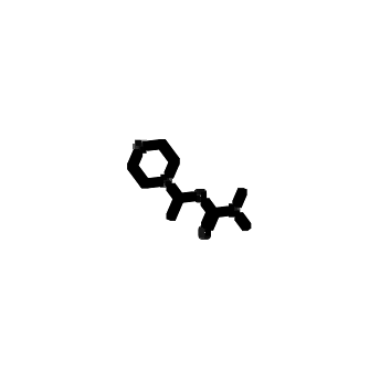 CC(OC(=O)N(C)C)N1CC[N]CC1